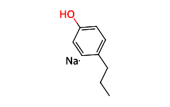 CCCc1ccc(O)cc1.[Na]